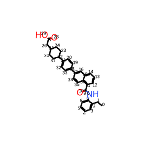 CCc1ccccc1NC(=O)c1cccc2cc(-c3ccc(C4CCC(CC(=O)O)CC4)cc3)ccc12